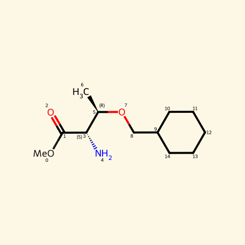 COC(=O)[C@@H](N)[C@@H](C)OCC1CCCCC1